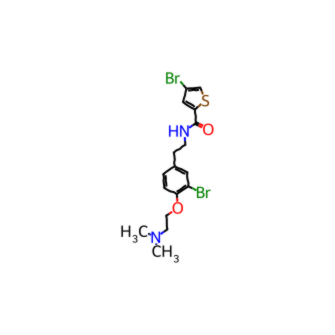 CN(C)CCOc1ccc(CCNC(=O)c2cc(Br)cs2)cc1Br